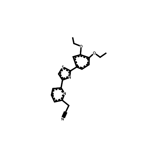 CCOc1ccc(-c2nc(-c3cccc(CC#N)n3)cs2)cc1OCC